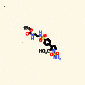 CC(C)(C)OC(=O)NCCNS(=O)(=O)c1ccc(-c2ccn(S(N)(=O)=O)c2C(=O)O)cc1